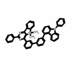 C[Si]1(C)c2ccccc2-c2nc(-c3ccccc3)nc(-c3cccc(-c4cccc(-c5cccc6c5c5ccccc5n6-c5ccccc5)c4)c3)c21